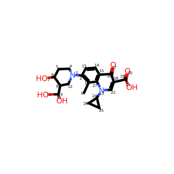 Cc1c(N2CCC(O)C(C(O)O)C2)ccc2c(=O)c(C(=O)O)cn(C3CC3)c12